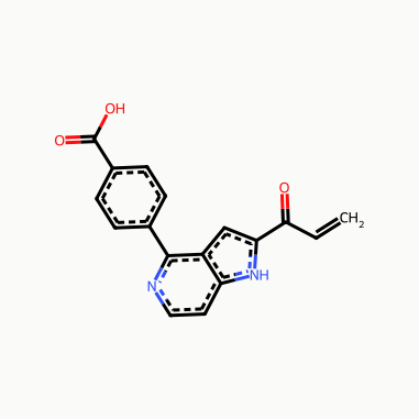 C=CC(=O)c1cc2c(-c3ccc(C(=O)O)cc3)nccc2[nH]1